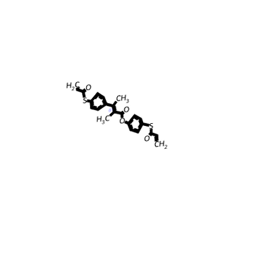 C=CC(=O)Sc1ccc(OC(=O)/C(C)=C(\C)c2ccc(SC(=O)C=C)cc2)cc1